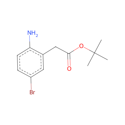 CC(C)(C)OC(=O)Cc1cc(Br)ccc1N